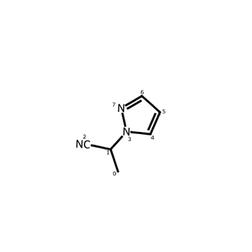 CC(C#N)n1c[c]cn1